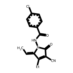 C/C=C1/C(CC)=C(C#N)C(=O)N1NC(=O)c1ccc(Cl)cc1